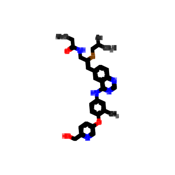 COCC(=O)NCC(=Cc1ccc2ncnc(Nc3ccc(Oc4ccc(CO)nc4)c(C)c3)c2c1)SCC(C(C)=O)C(=O)O